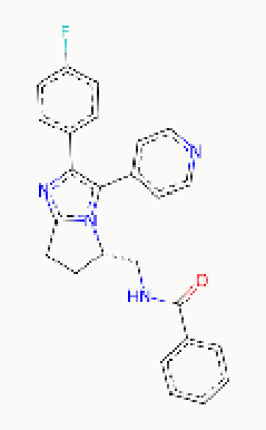 O=C(NC[C@@H]1CCc2nc(-c3ccc(F)cc3)c(-c3ccncc3)n21)c1ccccc1